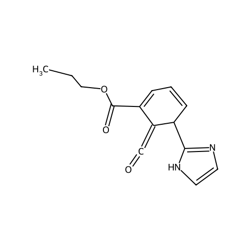 CCCOC(=O)C1=CC=CC(c2ncc[nH]2)C1=C=O